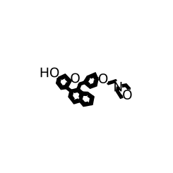 O=C(c1ccc(OCCN2CCOCC2)cc1)c1c(-c2ccc(O)cc2)ccc2ccccc12